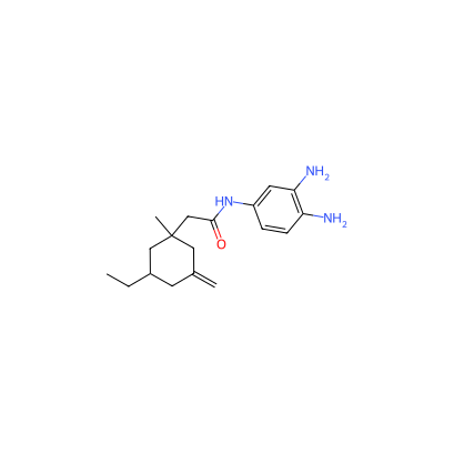 C=C1CC(CC)CC(C)(CC(=O)Nc2ccc(N)c(N)c2)C1